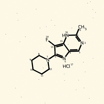 Cc1ncc2nc(N3CCCCC3)c(F)c-2[nH]1.Cl